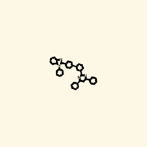 c1ccc(-c2cc(-c3ccccc3)nc(-c3cccc(-c4ccc(-c5nc6ccccc6n5-c5ccccc5)cc4)c3)n2)cc1